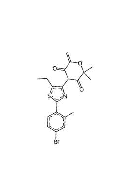 C=C1OC(C)(C)C(=O)C(c2nc(-c3ccc(Br)cc3C)sc2CC)C1=O